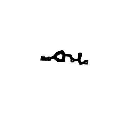 COc1ccc(COC(=O)CCl)cc1